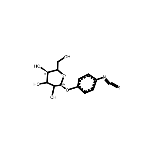 OCC1O[C@@H](Oc2ccc(N=C=S)cc2)C(O)C(O)[C@H]1O